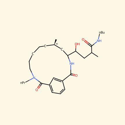 CCCCNC(=O)C(C)CC(O)C1C[C@H](C)CCCCCN(CCC)C(=O)c2cccc(c2)C(=O)N1